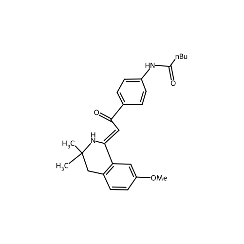 CCCCC(=O)Nc1ccc(C(=O)C=C2NC(C)(C)Cc3ccc(OC)cc32)cc1